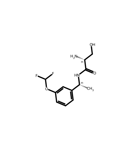 C[C@@H](NC(=O)[C@H](N)CO)c1cccc(OC(F)F)c1